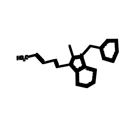 Cc1c(C=CC=CC(=O)O)c2ccccc2n1Cc1ccccc1